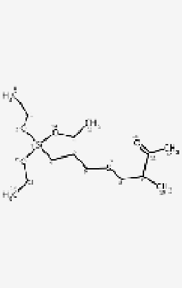 CCO[Si](CCCSCC(C)C(C)=O)(OCC)OCC